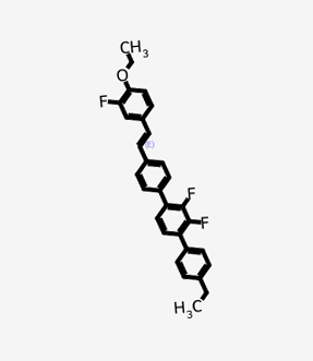 CCOc1ccc(/C=C/c2ccc(-c3ccc(-c4ccc(CC)cc4)c(F)c3F)cc2)cc1F